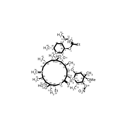 CCC(=O)O[C@H]1[C@H](O[C@@H]2[C@@H](C)[C@H](O[C@H]3C[C@@](C)(OC)[C@@H](O[N+](=O)[O-])[C@H](C)O3)[C@@H](C)C(=O)O[C@H](CC)[C@@](C)(O)[C@H](O)[C@@H](C)N(C)C[C@H](C)C[C@@]2(C)O)O[C@H](C)C[C@@H]1N(C)C